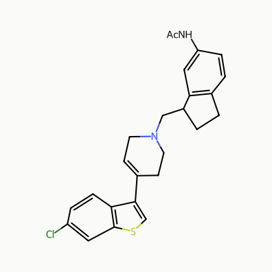 CC(=O)Nc1ccc2c(c1)C(CN1CC=C(c3csc4cc(Cl)ccc34)CC1)CC2